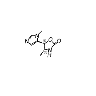 C[C@@H]1NC(=O)O[C@@H]1c1cncn1C